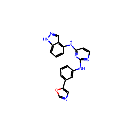 c1cc(Nc2nccc(Nc3cccc4[nH]ncc34)n2)cc(-c2cnco2)c1